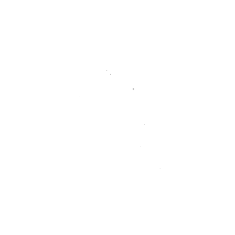 CC[C@@H](N)c1cc(F)ccc1O